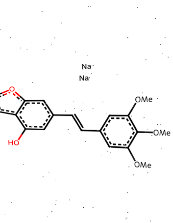 COc1cc(C=Cc2cc(O)c3ccoc3c2)cc(OC)c1OC.[Na].[Na]